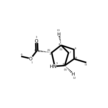 COC(=O)[C@H]1N[C@H]2C[C@@H]1CC2C